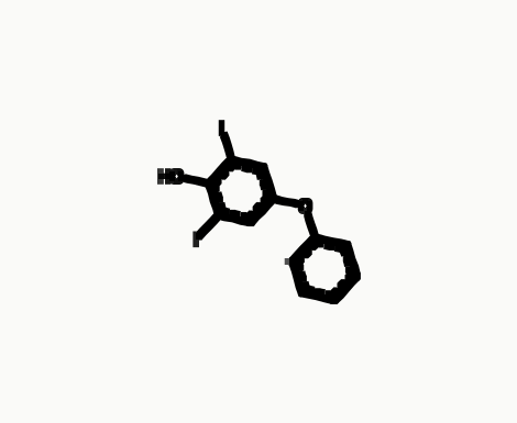 Oc1c(I)cc(Oc2[c]cccc2)cc1I